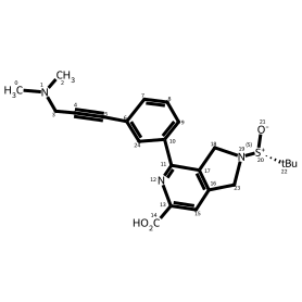 CN(C)CC#Cc1cccc(-c2nc(C(=O)O)cc3c2CN([S@+]([O-])C(C)(C)C)C3)c1